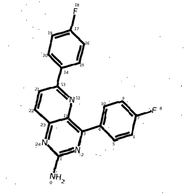 Nc1nc(-c2ccc(F)cc2)c2nc(-c3ccc(F)cc3)ccc2n1